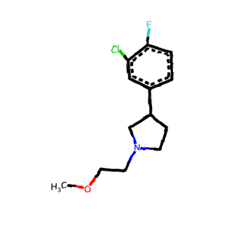 COCCN1CCC(c2ccc(F)c(Cl)c2)C1